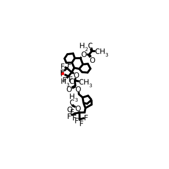 C=C(C)C(=O)OC1C2CCCCC2C(C(OC(C)(C)C(=O)OCC2CC3CC(CC(OC(C)=O)(C(F)(F)F)C(F)(F)F)C2C3)(C(F)(F)F)C(F)(F)F)C2CCCCC21